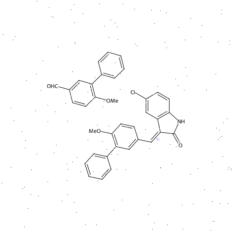 COc1ccc(/C=C2/C(=O)Nc3ccc(Cl)cc32)cc1-c1ccccc1.COc1ccc(C=O)cc1-c1ccccc1